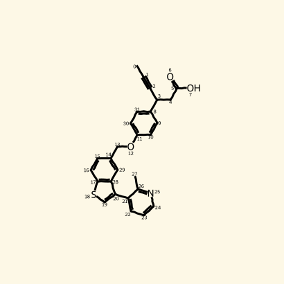 CC#CC(CC(=O)O)c1ccc(OCc2ccc3scc(-c4cccnc4C)c3c2)cc1